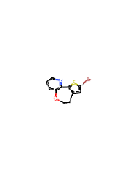 Brc1cc2c(s1)-c1ncccc1OCC2